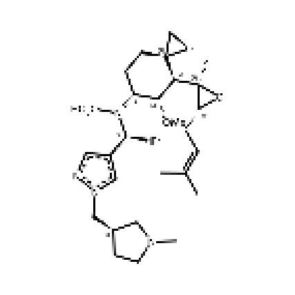 CO[C@@H]1[C@H](N(C(=O)O)[C@H](c2cnn(C[C@@H]3CCN(C)C3)c2)C(C)C)CC[C@]2(CO2)[C@H]1[C@@]1(C)O[C@@H]1CC=C(C)C